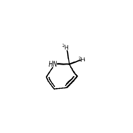 [2H]C1([2H])C=CC=CN1